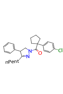 CCCCCC1=NN(C(=O)C2(c3ccc(Cl)cc3)CCCC2)CC1c1ccccc1